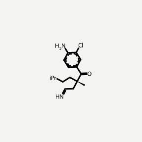 CC(C)CC[C@@](C)(CC=N)C(=O)c1ccc(N)c(Cl)c1